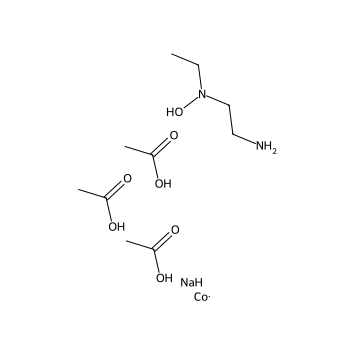 CC(=O)O.CC(=O)O.CC(=O)O.CCN(O)CCN.[Co].[NaH]